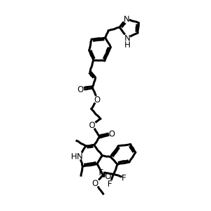 COC(=O)C1=C(C)NC(C)=C(C(=O)OCCOC(=O)C=Cc2ccc(Cc3ncc[nH]3)cc2)C1c1ccccc1C(F)(F)F